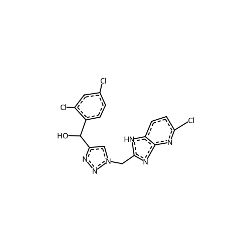 OC(c1cn(Cc2nc3nc(Cl)ccc3[nH]2)nn1)c1ccc(Cl)cc1Cl